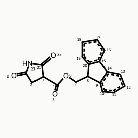 O=C1CC(C(=O)OCC2c3ccccc3-c3ccccc32)C(=O)N1